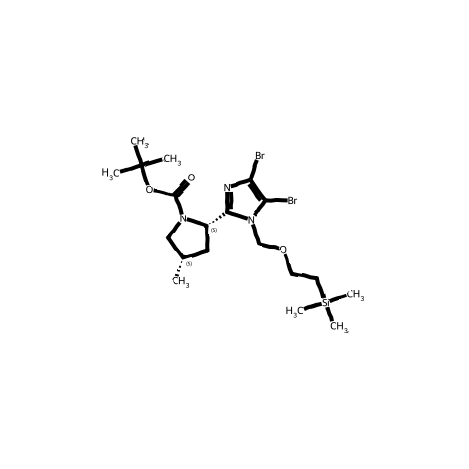 C[C@H]1C[C@@H](c2nc(Br)c(Br)n2COCC[Si](C)(C)C)N(C(=O)OC(C)(C)C)C1